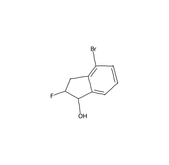 OC1c2cccc(Br)c2CC1F